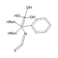 CCCCCCCCCS(CCCCCCCCC)(N=C=S)(c1ccccc1)=P(O)(O)O